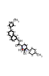 C\C=C(/C=C\C(=C(/C)CC)N1CCN(C)CC1)C(=O)Nc1cc2cc(-c3cnn(C)c3)ccc2cn1